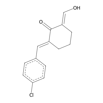 O=C1/C(=C/O)CCC/C1=C\c1ccc(Cl)cc1